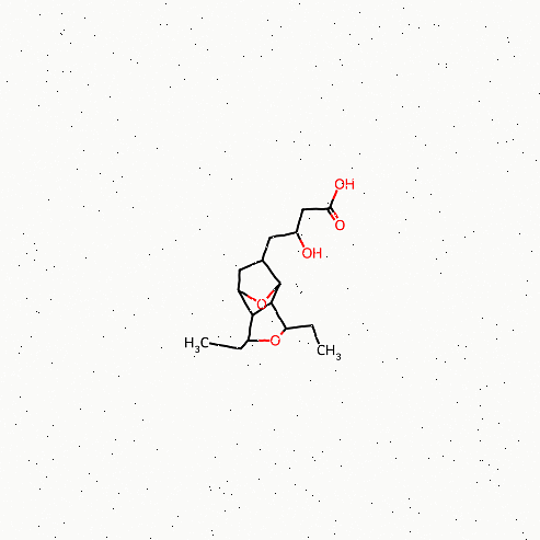 CCC1OC(CC)C2C3OC(CC3CC(O)CC(=O)O)C12